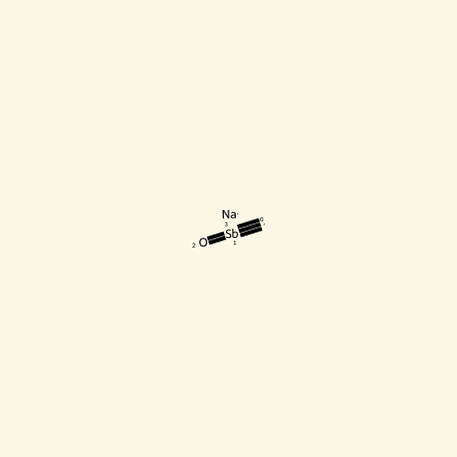 [C]#[Sb]=[O].[Na]